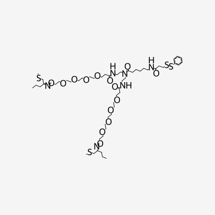 CCC/C(CSC)=N/OCCOCCOCCOCCOCCC(=O)NCCN(CCNC(=O)CCOCCOCCOCCOCCO/N=C(\CCC)CSC)C(=O)CCCCCNC(=O)CCSSc1ccccc1